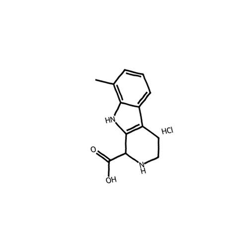 Cc1cccc2c3c([nH]c12)C(C(=O)O)NCC3.Cl